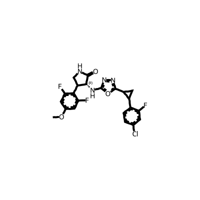 COc1cc(F)c(C2CNC(=O)[C@@H]2Nc2nnc(C3CC3c3ccc(Cl)cc3F)o2)c(F)c1